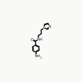 Nc1ccc(C(=O)NCCCn2ccnc2)cc1